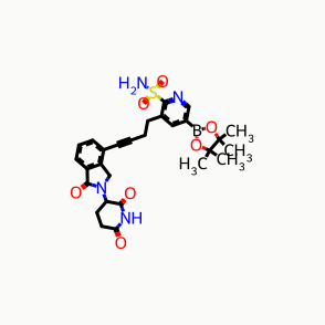 CC1(C)OB(c2cnc(S(N)(=O)=O)c(CCC#Cc3cccc4c3CN(C3CCC(=O)NC3=O)C4=O)c2)OC1(C)C